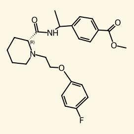 COC(=O)c1ccc(C(C)NC(=O)[C@H]2CCCCN2CCOc2ccc(F)cc2)cc1